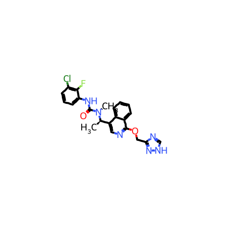 C[C@H](c1cnc(OCc2nc[nH]n2)c2ccccc12)N(C)C(=O)Nc1cccc(Cl)c1F